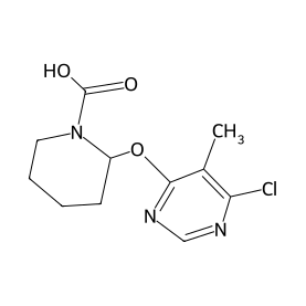 Cc1c(Cl)ncnc1OC1CCCCN1C(=O)O